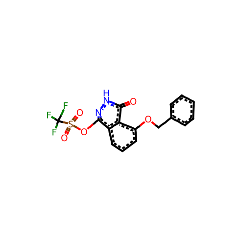 O=c1[nH]nc(OS(=O)(=O)C(F)(F)F)c2cccc(OCc3ccccc3)c12